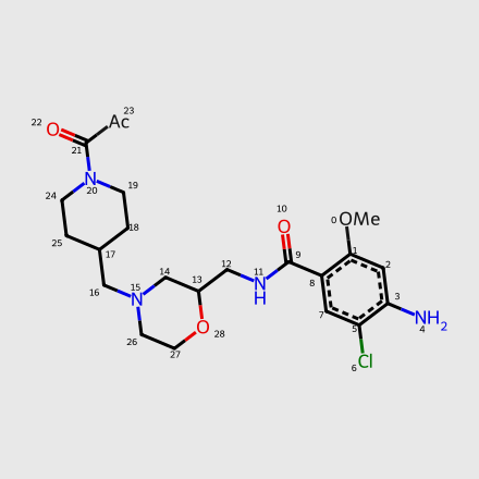 COc1cc(N)c(Cl)cc1C(=O)NCC1CN(CC2CCN(C(=O)C(C)=O)CC2)CCO1